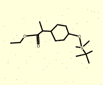 CCOC(=O)C(C)C1CCC(O[Si](C)(C)C(C)(C)C)CC1